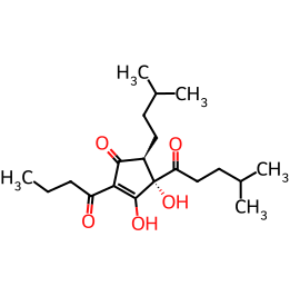 CCCC(=O)C1=C(O)[C@](O)(C(=O)CCC(C)C)[C@H](CCC(C)C)C1=O